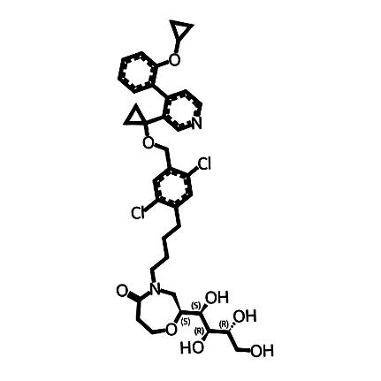 O=C1CCO[C@H]([C@@H](O)[C@H](O)[C@H](O)CO)CN1CCCCc1cc(Cl)c(COC2(c3cnccc3-c3ccccc3OC3CC3)CC2)cc1Cl